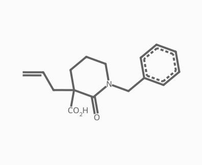 C=CCC1(C(=O)O)CCCN(Cc2ccccc2)C1=O